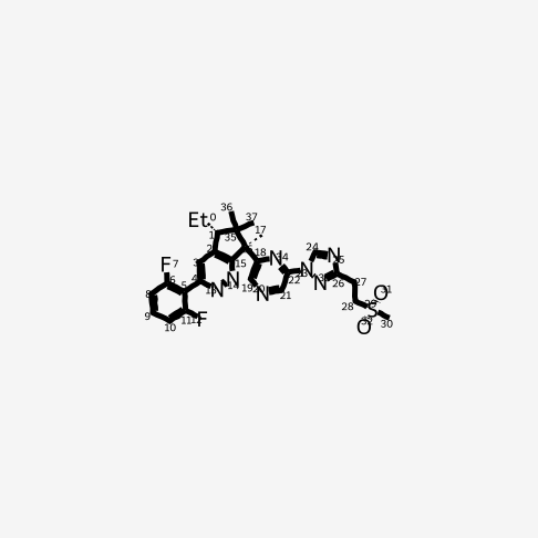 CC[C@H]1c2cc(-c3c(F)cccc3F)nnc2[C@](C)(c2cncc(-n3cnc(CCS(C)(=O)=O)n3)n2)C1(C)C